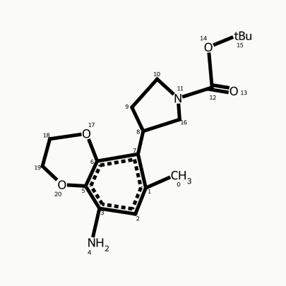 Cc1cc(N)c2c(c1C1CCN(C(=O)OC(C)(C)C)C1)OCCO2